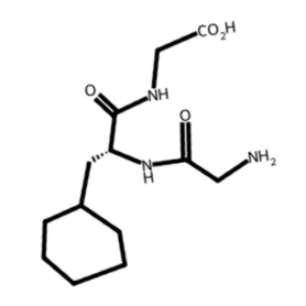 NCC(=O)N[C@H](CC1CCCCC1)C(=O)NCC(=O)O